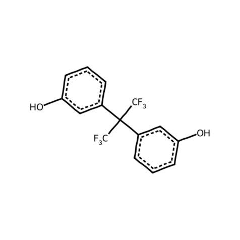 Oc1cccc(C(c2cccc(O)c2)(C(F)(F)F)C(F)(F)F)c1